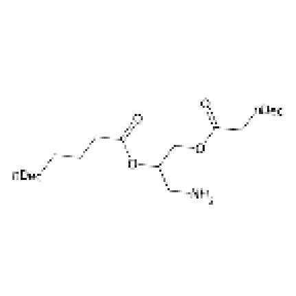 CCCCCCCCCCCCCC(=O)OC(CN)COC(=O)CCCCCCCCCCC